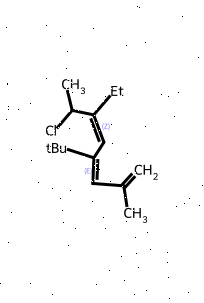 C=C(C)/C=C(\C=C(\CC)C(C)Cl)C(C)(C)C